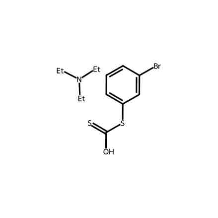 CCN(CC)CC.OC(=S)Sc1cccc(Br)c1